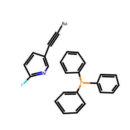 Fc1ccc(C#[C][Au])cn1.c1ccc(P(c2ccccc2)c2ccccc2)cc1